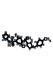 Cc1ccc(CN2CCC(N(C)c3cc(F)c(S(=O)(=O)Nc4cscn4)cc3Cl)C2)cc1